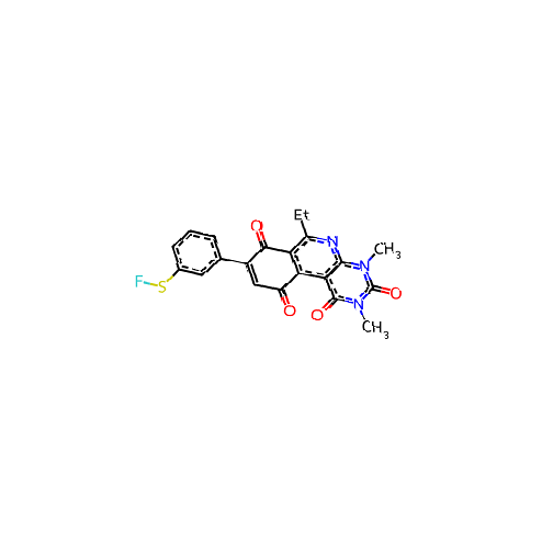 CCc1nc2c(c3c1C(=O)C(c1cccc(SF)c1)=CC3=O)c(=O)n(C)c(=O)n2C